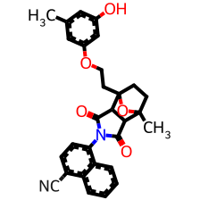 Cc1cc(O)cc(OCCC23CCC(C)(O2)C2C(=O)N(c4ccc(C#N)c5ccccc45)C(=O)C23)c1